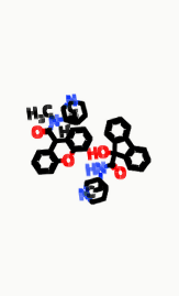 CN(C(=O)C1c2ccccc2Oc2ccccc21)[C@H]1CN2CCC1CC2.O=C(NC1CN2CCC1CC2)C1(O)c2ccccc2-c2ccccc21